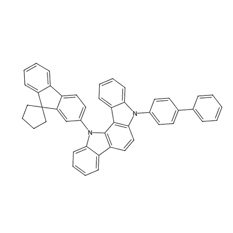 c1ccc(-c2ccc(-n3c4ccccc4c4c3ccc3c5ccccc5n(-c5ccc6c(c5)C5(CCCC5)c5ccccc5-6)c34)cc2)cc1